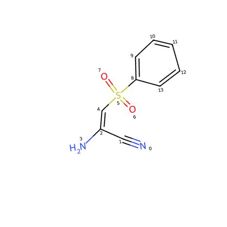 N#C/C(N)=C\S(=O)(=O)c1ccccc1